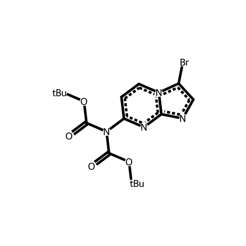 CC(C)(C)OC(=O)N(C(=O)OC(C)(C)C)c1ccn2c(Br)cnc2n1